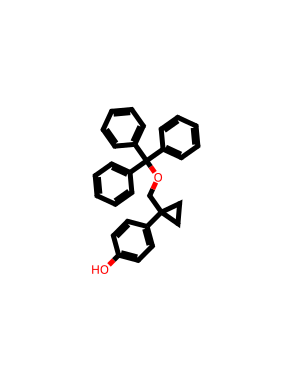 Oc1ccc(C2(COC(c3ccccc3)(c3ccccc3)c3ccccc3)CC2)cc1